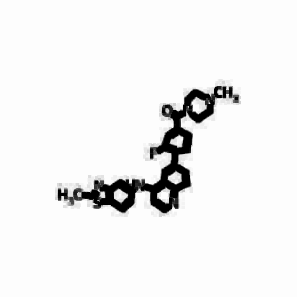 Cc1nc2cc(Nc3ccnc4ccc(-c5ccc(C(=O)N6CCN(C)CC6)cc5F)cc34)ccc2s1